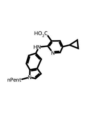 CCCCCn1ccc2cc(Nc3ncc(C4CC4)cc3C(=O)O)ccc21